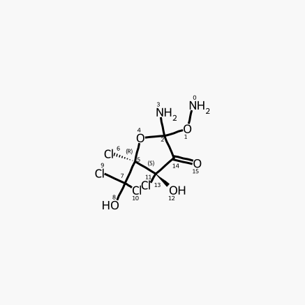 NOC1(N)O[C@](Cl)(C(O)(Cl)Cl)[C@@](O)(Cl)C1=O